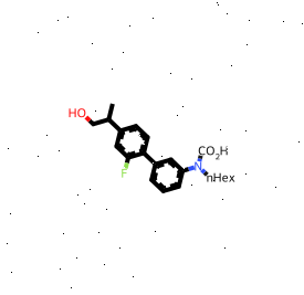 CCCCCCN(C(=O)O)c1cccc(-c2ccc(C(C)CO)cc2F)c1